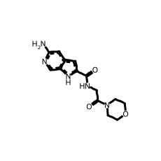 Nc1cc2cc(C(=O)NCC(=O)N3CCOCC3)[nH]c2cn1